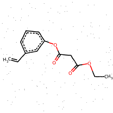 C=Cc1cccc(OC(=O)CC(=O)OCC)c1